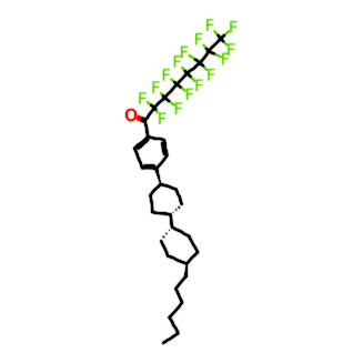 CCCCCC[C@H]1CC[C@H]([C@H]2CC[C@H](c3ccc(C(=O)C(F)(F)C(F)(F)C(F)(F)C(F)(F)C(F)(F)C(F)(F)C(F)(F)F)cc3)CC2)CC1